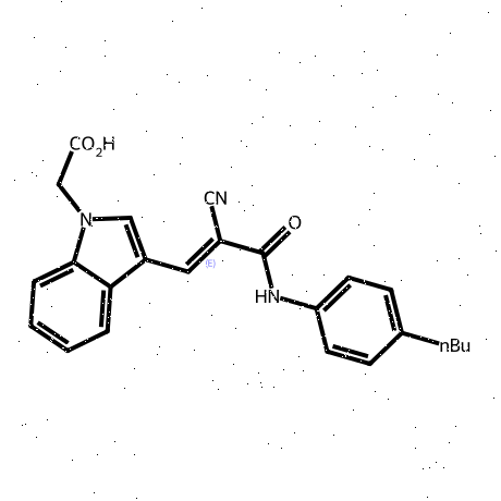 CCCCc1ccc(NC(=O)/C(C#N)=C/c2cn(CC(=O)O)c3ccccc23)cc1